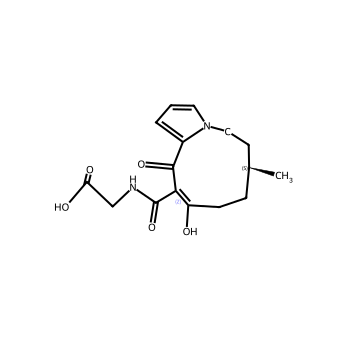 C[C@H]1CC/C(O)=C(/C(=O)NCC(=O)O)C(=O)c2cccn2CC1